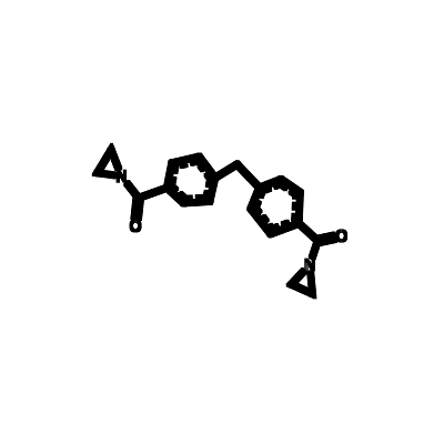 O=C(c1ccc(Cc2ccc(C(=O)N3CC3)cc2)cc1)N1CC1